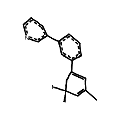 CC1=C[C@](C)(I)CC(c2cccc(-c3cccnc3)c2)=C1